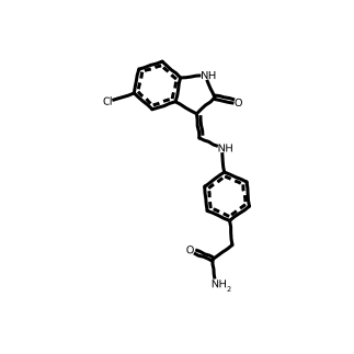 NC(=O)Cc1ccc(N/C=C2\C(=O)Nc3ccc(Cl)cc32)cc1